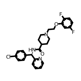 O=C(N[C@@H](c1ccc(Cl)cc1)c1ccccn1)C1CCN(CCOc2cc(F)ccc2F)CC1